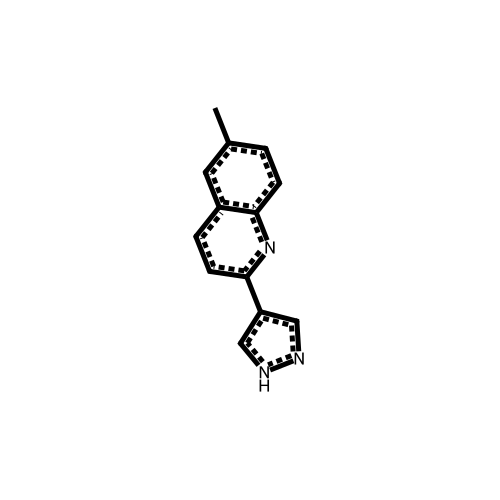 Cc1ccc2nc(-c3cn[nH]c3)ccc2c1